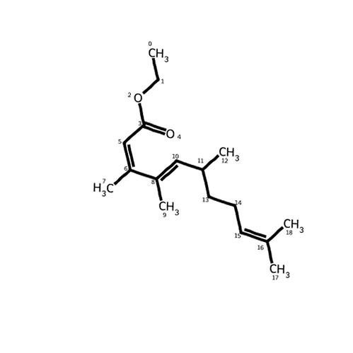 CCOC(=O)C=C(C)C(C)=CC(C)CCC=C(C)C